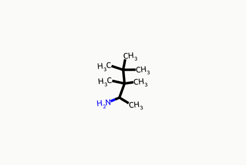 CC(N)C(C)(C)C(C)(C)C